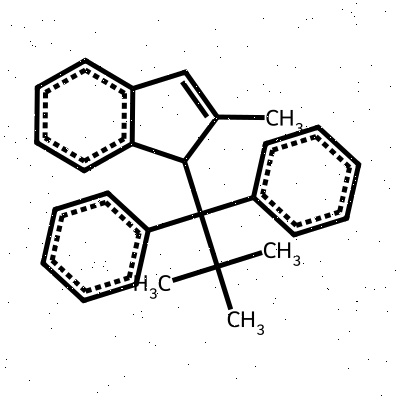 CC1=Cc2ccccc2C1C(c1ccccc1)(c1ccccc1)C(C)(C)C